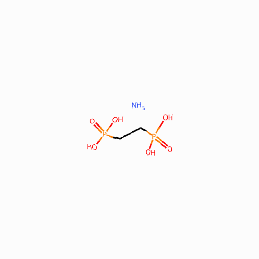 N.O=P(O)(O)CCP(=O)(O)O